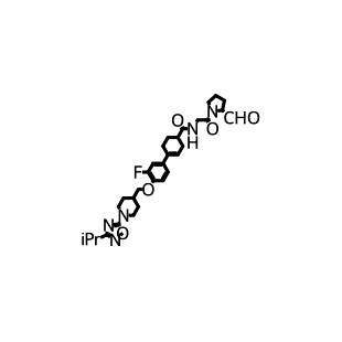 CC(C)c1noc(N2CCC(COc3ccc(C4=CCC(C(=O)NCC(=O)N5CCCC5C=O)CC4)cc3F)CC2)n1